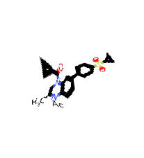 CC(=O)N1c2ccc(-c3ccc(S(=O)(=O)C4CC4)cc3)cc2N(C(=O)C2CC2)C[C@@H]1C